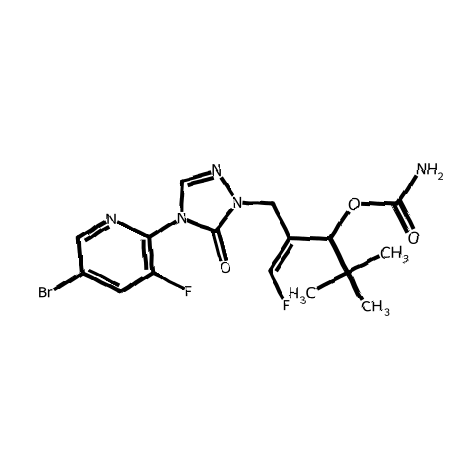 CC(C)(C)C(OC(N)=O)C(=CF)Cn1ncn(-c2ncc(Br)cc2F)c1=O